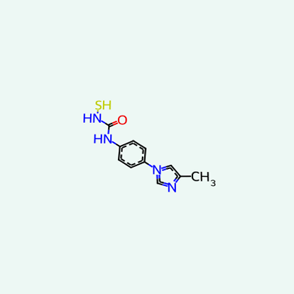 Cc1cn(-c2ccc(NC(=O)NS)cc2)cn1